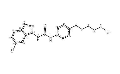 O=C(Nc1ccc(CCCCSC(F)(F)F)cc1)Nc1c[nH]c2ccc(Cl)cc12